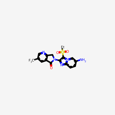 CCS(=O)(=O)c1c(N2Cc3ncc(C(F)(F)F)cc3C2=O)nc2ccc(N)cn12